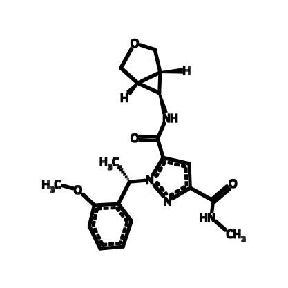 CNC(=O)c1cc(C(=O)N[C@H]2[C@@H]3COC[C@@H]32)n([C@@H](C)c2ccccc2OC)n1